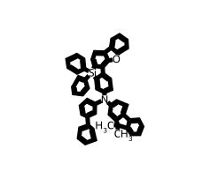 CC1(C)c2ccccc2-c2ccc(N(c3cccc(-c4ccccc4)c3)c3ccc4c(c3)[Si](c3ccccc3)(c3ccccc3)c3ccc5c(oc6ccccc65)c3-4)cc21